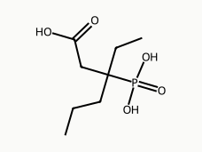 CCCC(CC)(CC(=O)O)P(=O)(O)O